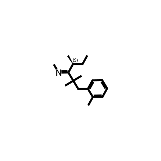 CC[C@H](C)C(=NC)C(C)(C)Cc1ccccc1C